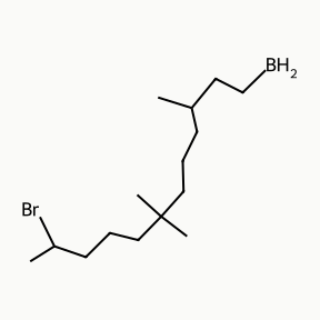 BCCC(C)CCCC(C)(C)CCCC(C)Br